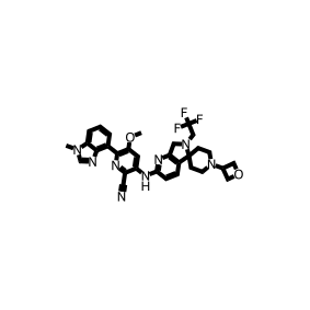 COc1cc(Nc2ccc3c(n2)CN(CC(F)(F)F)C32CCN(C3COC3)CC2)c(C#N)nc1-c1cccc2c1ncn2C